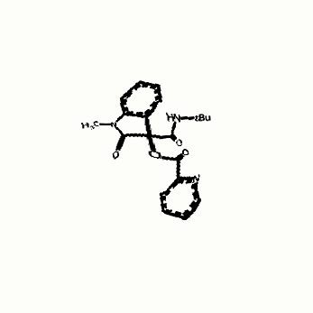 CN1C(=O)C(OC(=O)c2ccccn2)(C(=O)NC(C)(C)C)c2ccccc21